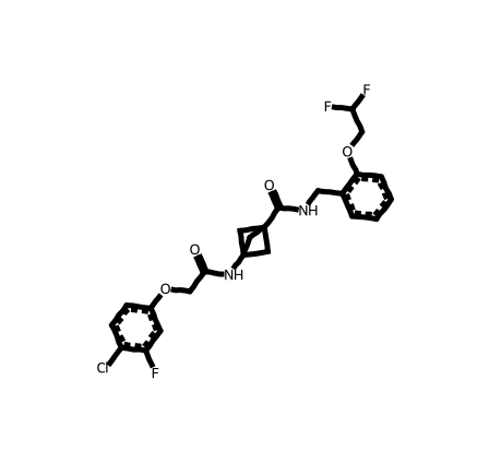 O=C(COc1ccc(Cl)c(F)c1)NC12CC(C(=O)NCc3ccccc3OCC(F)F)(C1)C2